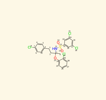 CC(CCc1ccc(Cl)cc1)(NS(=O)(=O)c1cc(Cl)cc(Cl)c1)Oc1ccccc1Cl